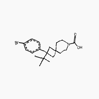 CC(C)(C)C1(c2ccc(Br)cc2)CC2(CCN(C(=O)O)CC2)C1